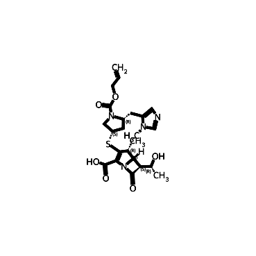 C=CCOC(=O)N1C[C@@H](SC2=C(C(=O)O)N3C(=O)[C@H]([C@@H](C)O)[C@H]3[C@H]2C)C[C@H]1Cc1cncn1C